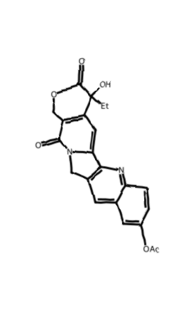 CCC1(O)C(=O)OCc2c1cc1n(c2=O)Cc2cc3cc(OC(C)=O)ccc3nc2-1